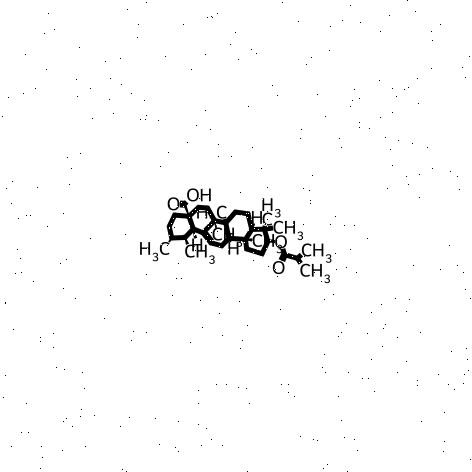 CC(C)C(=O)O[C@H]1CC[C@]2(C)[C@H]3CC=C4[C@@H]5[C@@H](C)[C@H](C)CC[C@]5(C(=O)O)CC[C@@]4(C)[C@]3(C)CC[C@H]2C1(C)C